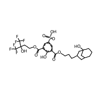 O=C(OCCCC1CC2CCCC(O)(C1)C2)c1cc(S(=O)(=O)O)cc(C(=O)OCCC(O)(C(F)(F)F)C(F)(F)F)c1O